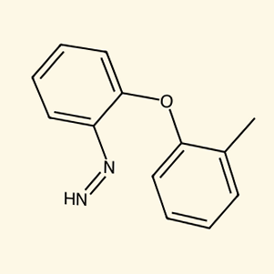 Cc1ccccc1Oc1ccccc1N=N